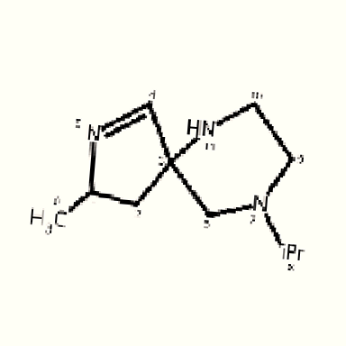 CC1CC2(C=N1)CN(C(C)C)CCN2